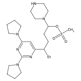 CCC(CCC(OS(C)(=O)=O)N1CCNCC1)c1cc(N2CCCC2)nc(N2CCCC2)n1